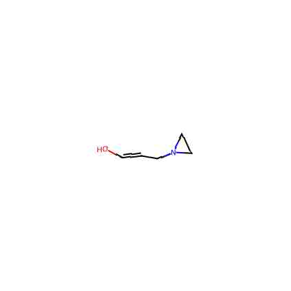 OC=CCN1CC1